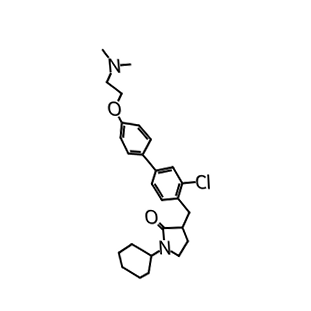 CN(C)CCOc1ccc(-c2ccc(CC3CCN(C4CCCCC4)C3=O)c(Cl)c2)cc1